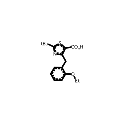 CCOc1ccccc1Cc1nc(C(C)(C)C)sc1C(=O)O